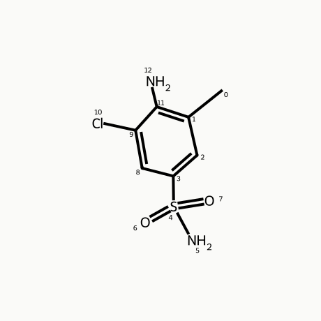 Cc1cc(S(N)(=O)=O)cc(Cl)c1N